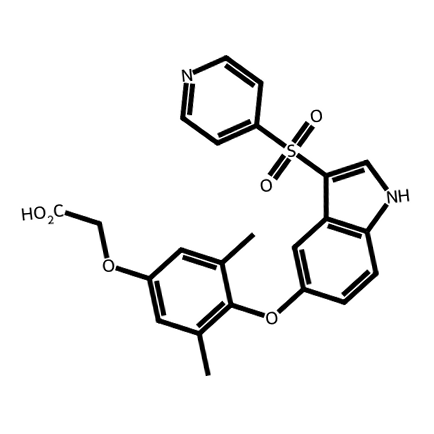 Cc1cc(OCC(=O)O)cc(C)c1Oc1ccc2[nH]cc(S(=O)(=O)c3ccncc3)c2c1